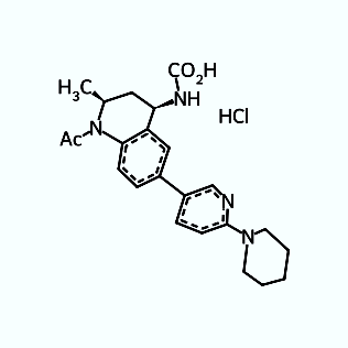 CC(=O)N1c2ccc(-c3ccc(N4CCCCC4)nc3)cc2[C@H](NC(=O)O)C[C@@H]1C.Cl